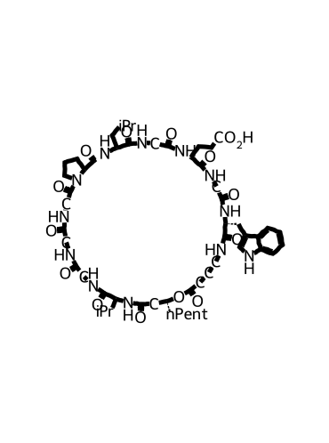 CCCCC[C@@H]1CC(=O)NC(C(C)C)C(=O)NCC(=O)NCC(=O)NCC(=O)N2CCCC2C(=O)NC(CC(C)C)C(=O)NCC(=O)NC(CCC(=O)O)C(=O)NCC(=O)N[C@H](Cc2c[nH]c3ccccc23)C(=O)NCCCC(=O)O1